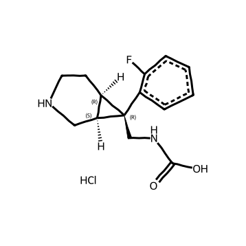 Cl.O=C(O)NC[C@]1(c2ccccc2F)[C@@H]2CCNC[C@@H]21